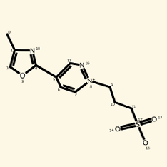 Cc1coc(-c2cc[n+](CCCS(=O)(=O)[O-])nc2)n1